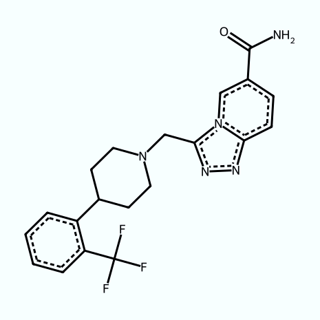 NC(=O)c1ccc2nnc(CN3CCC(c4ccccc4C(F)(F)F)CC3)n2c1